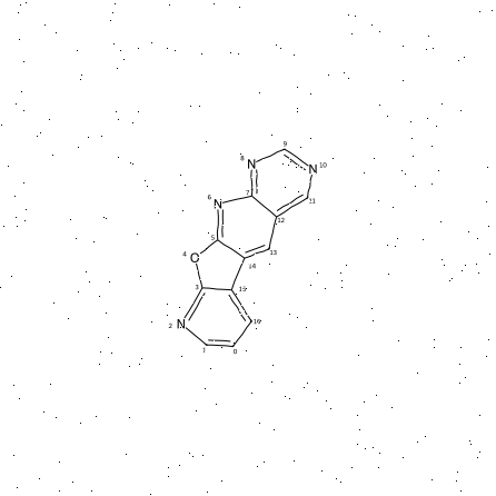 c1cnc2oc3nc4ncncc4cc3c2c1